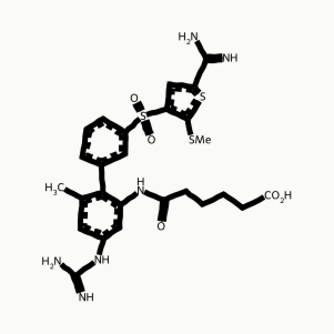 CSc1sc(C(=N)N)cc1S(=O)(=O)c1cccc(-c2c(C)cc(NC(=N)N)cc2NC(=O)CCCCC(=O)O)c1